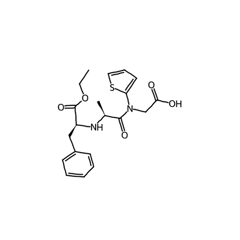 CCOC(=O)[C@H](Cc1ccccc1)N[C@@H](C)C(=O)N(CC(=O)O)c1cccs1